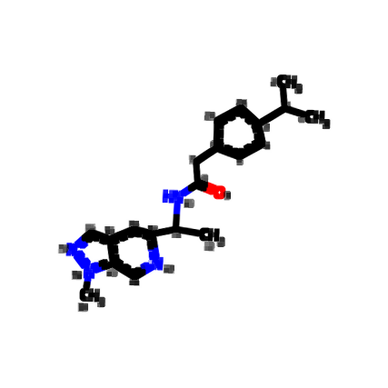 CC(C)c1ccc(CC(=O)NC(C)c2cc3cnn(C)c3cn2)cc1